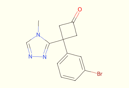 Cn1cnnc1C1(c2cccc(Br)c2)CC(=O)C1